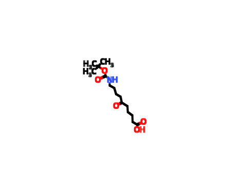 CC(C)(C)OC(=O)NCCCCC(=O)CCCCC(=O)O